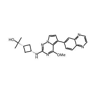 COc1nc(N[C@H]2C[C@@H](C(C)(C)O)C2)nn2ccc(-c3ccc4nccnc4c3)c12